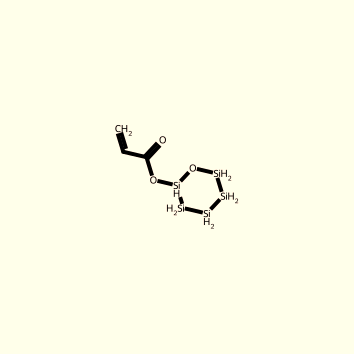 C=CC(=O)O[SiH]1O[SiH2][SiH2][SiH2][SiH2]1